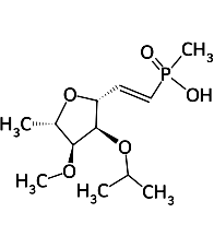 CO[C@@H]1[C@H](OC(C)C)[C@@H](/C=C/P(C)(=O)O)O[C@H]1C